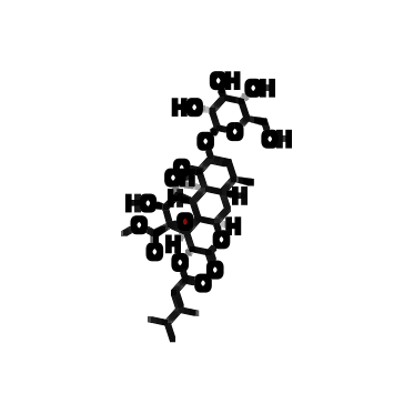 COC(=O)[C@]12OC[C@]34[C@H]([C@@H](O)[C@@H]1O)[C@@]1(C)C(=O)C(O[C@@H]5O[C@H](CO)[C@@H](O)[C@H](O)[C@H]5O)=C[C@@H](C)[C@@H]1C[C@H]3OC(=O)[C@H](OC(=O)/C=C(\C)C(C)C)[C@@H]24